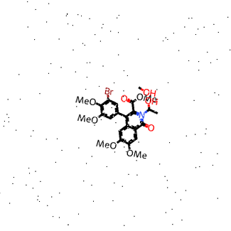 CO.COC(=O)c1c(-c2cc(Br)c(OC)c(OC)c2)c2cc(OC)c(OC)cc2c(=O)n1C(C)O